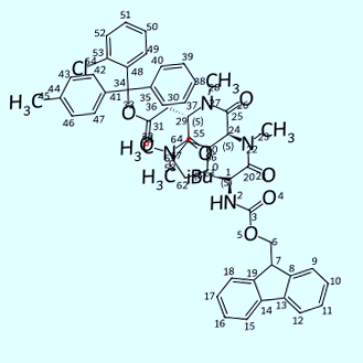 CC[C@H](C)[C@H](NC(=O)OCC1c2ccccc2-c2ccccc21)C(=O)N(C)[C@H](C(=O)N(C)[C@@H](CC(=O)OC(c1ccccc1)(c1ccc(C)cc1)c1ccccc1Cl)C(=O)N(C)C)C1CCCC1